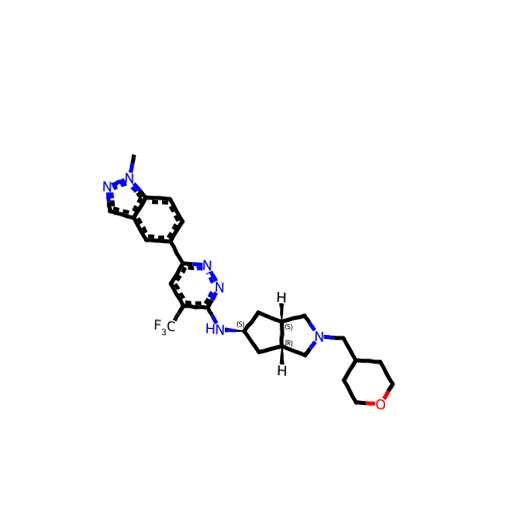 Cn1ncc2cc(-c3cc(C(F)(F)F)c(N[C@H]4C[C@@H]5CN(CC6CCOCC6)C[C@@H]5C4)nn3)ccc21